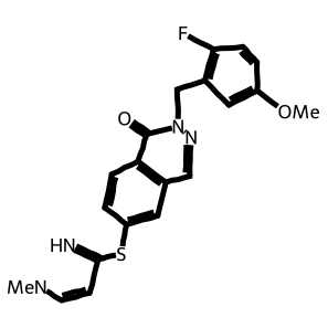 CN/C=C\C(=N)Sc1ccc2c(=O)n(Cc3cc(OC)ccc3F)ncc2c1